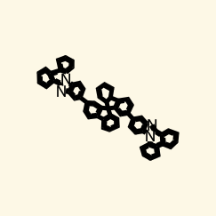 C1=CC2c3ccc(-c4ccc5c(c4)nc4c6ccccc6c6ccccc6n54)cc3C3(c4ccccc4-c4ccc(-c5ccc6c(c5)nc5c7ccccc7c7ccccc7n65)cc43)C2C=C1